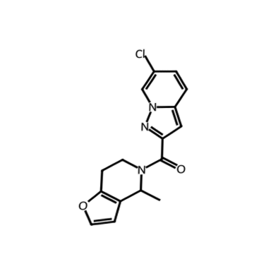 CC1c2ccoc2CCN1C(=O)c1cc2ccc(Cl)cn2n1